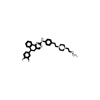 COCCN1CCN(CCc2ccc(Nc3ncc4c(n3)-c3ccccc3C(c3ccc(F)c(F)c3)C4)cc2)CC1